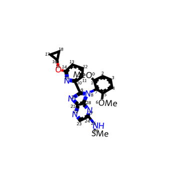 COc1cccc(OC)c1-n1c(-c2cccc(OC3CC3)n2)nc2ncc(NSC)nc21